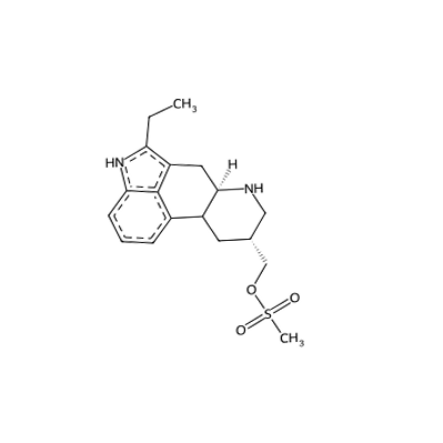 CCc1[nH]c2cccc3c2c1C[C@H]1NC[C@H](COS(C)(=O)=O)CC31